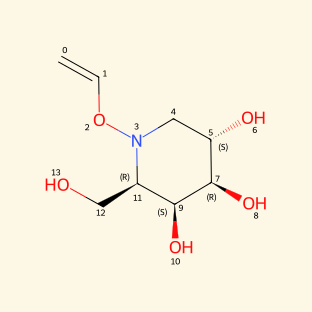 C=CON1C[C@H](O)[C@@H](O)[C@@H](O)[C@H]1CO